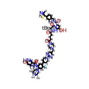 Cc1ncsc1-c1ccc(CNC(=O)[C@@H]2C[C@@H](O)CN2C(=O)C(NC(=O)CCCC(=O)N2CCN(Cc3cnc(N4CC=C(c5cc(NC(=O)c6c[nH]c(=O)cc6C(F)(F)F)c(N6C[C@@H](C)N(C)[C@@H](C)C6)cc5F)CC4)nc3)CC2)C(C)(C)C)cc1